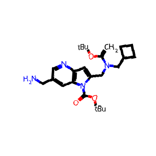 C=C(OC(C)(C)C)N(Cc1cc2ncc(CN)cc2n1C(=O)OC(C)(C)C)CC1CCC1